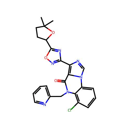 CC1(C)CCC(c2nc(-c3ncn4c3c(=O)n(Cc3ccccn3)c3c(Cl)cccc34)no2)O1